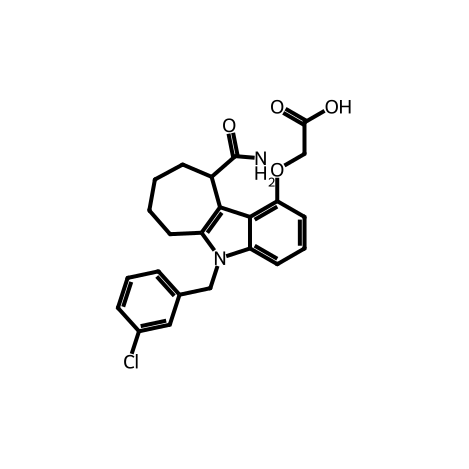 NC(=O)C1CCCCc2c1c1c(OCC(=O)O)cccc1n2Cc1cccc(Cl)c1